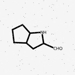 O=CC1CC2CCCC2N1